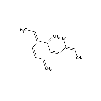 C=C/C=C\C(=C/C)C(=C)/C=C\C(Br)=C/C